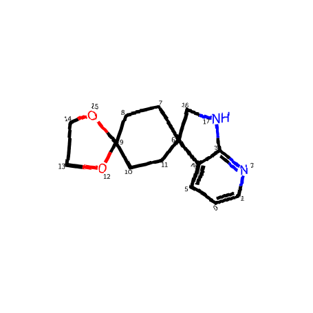 c1cnc2c(c1)C1(CCC3(CC1)OCCO3)CN2